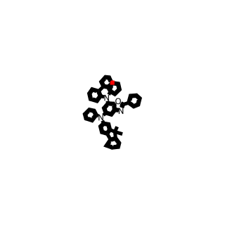 CC1(C)c2ccccc2-c2ccc(N(c3ccccc3)c3cc(N(c4ccccc4)c4ccccc4-c4ccccc4)c4oc(-c5ccccc5)nc4c3)cc21